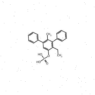 CCc1c(OP(=O)(O)O)cc(-c2ccccc2)c(C)c1-c1ccccc1